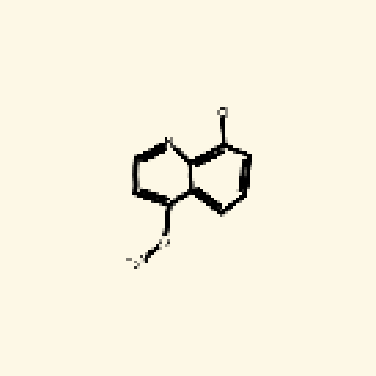 NOc1ccnc2c(Cl)cccc12